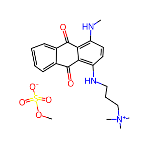 CNc1ccc(NCCC[N+](C)(C)C)c2c1C(=O)c1ccccc1C2=O.COS(=O)(=O)[O-]